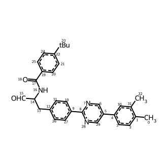 Cc1ccc(-c2cnc(-c3ccc(CC(C=O)NC(=O)c4ccc(C(C)(C)C)cc4)cc3)nc2)cc1C